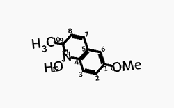 COc1ccc2c(c1)C=CC(C)N2O